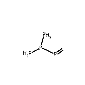 C=PP(P)P